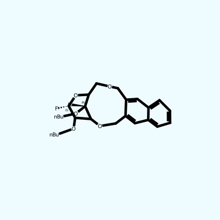 CCCCOC1C2OCc3cc4ccccc4cc3COCC(O[C@H]1F)[C@H]2OCCCC